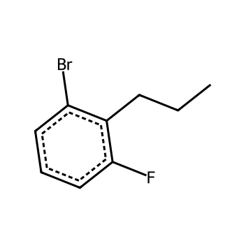 CCCc1c(F)cccc1Br